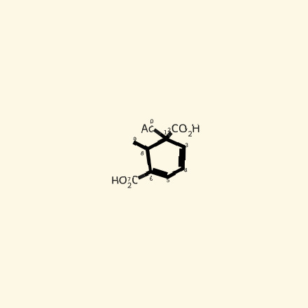 CC(=O)C1(C(=O)O)C=CC=C(C(=O)O)C1C